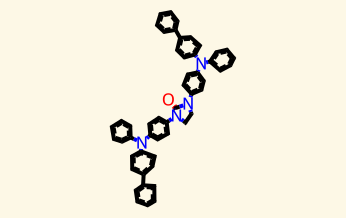 O=C1N(c2ccc(N(c3ccccc3)c3ccc(-c4ccccc4)cc3)cc2)CCN1c1ccc(N(c2ccccc2)c2ccc(-c3ccccc3)cc2)cc1